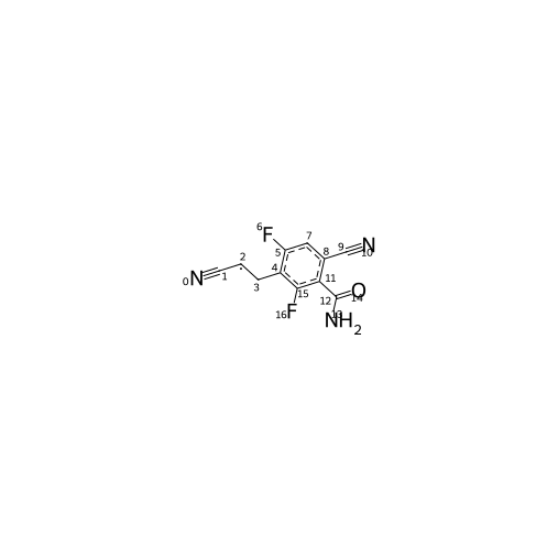 N#C[CH]Cc1c(F)cc(C#N)c(C(N)=O)c1F